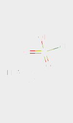 O.O=S(=O)(O)Cl.[AlH3]